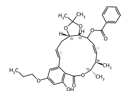 CCCOc1cc(O)c2c(c1)/C=C/C[C@@H]1OC(C)(C)O[C@@H]1C(OC(=O)c1ccccc1)/C=C\[C@@H](C)[C@H](C)OC2=O